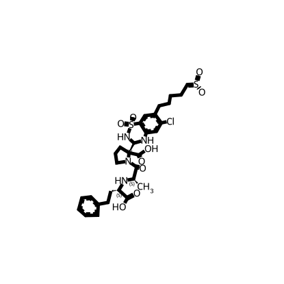 C[C@H](N[C@@H](CCc1ccccc1)C(=O)O)C(=O)N1CCC[C@@]1(C(=O)O)C1Nc2cc(Cl)c(CCCCC=S(=O)=O)cc2S(=O)(=O)N1